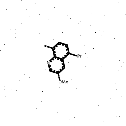 COc1cnc2c(C)ccc(C(C)C)c2c1